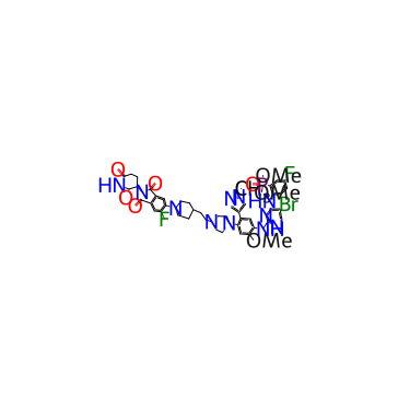 COc1cc(N2CCN(CCC3CCN(c4cc5c(cc4F)C(=O)N(C4CCC(=O)NC4=O)C5=O)CC3)CC2)c(-c2cnn(C)c2)cc1Nc1ncc(Br)c(Nc2ccc(F)cc2P(=O)(OC)OC)n1